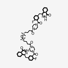 C[Si](C)(CCCC(=O)N1CCN(C(=O)c2cc(Cc3n[nH]c(=O)c4ccccc34)ccc2F)CC1)O[Si](C)(C)CCCC(=O)N1CCN(C(=O)c2cc(Cc3n[nH]c(=O)c4ccccc34)ccc2F)CC1